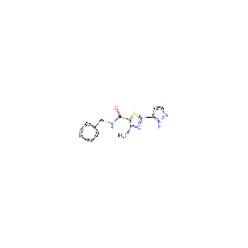 Cc1nc(-c2ccn[nH]2)sc1C(=O)NCc1ccccc1